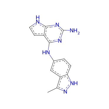 Cc1n[nH]c2ccc(Nc3nc(N)nc4[nH]ccc34)cc12